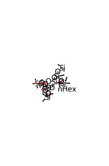 CCCCCCC(=O)[Si](O[Si](C)(O[Si](C)(C)C)O[Si](C)(C)C)(O[Si](C)(O[Si](C)(C)C)O[Si](C)(C)C)O[Si](C)(O[Si](C)(C)C)O[Si](C)(C)C